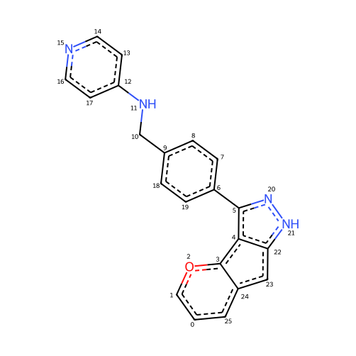 c1coc2c3c(-c4ccc(CNc5ccncc5)cc4)n[nH]c3cc-2c1